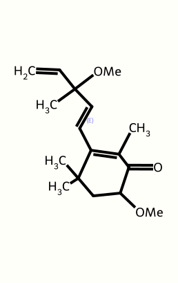 C=CC(C)(/C=C/C1=C(C)C(=O)C(OC)CC1(C)C)OC